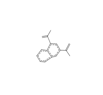 C=C(C)c1cc(C(=C)C)c2ccccc2c1